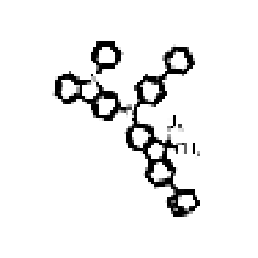 CC1(C)c2cc(N(c3ccc(-c4ccccc4)cc3)c3ccc4c5ccccc5n(-c5ccccc5)c4c3)ccc2-c2ccc(C34CCC(CC3)C4)cc21